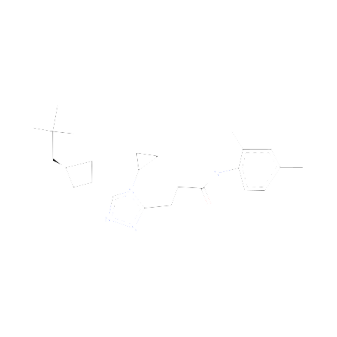 Cc1ccc(NC(=O)CCc2nnc([C@H]3C[C@H](CC(C)(C)C)C3)n2C2CC2)c(C)c1